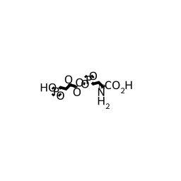 CP(=O)(O)CCC(=O)C(=O)OOP(C)(=O)CC[C@H](N)C(=O)O